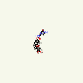 C[C@]12CC[C@H](OC(=O)NCCN3CCNC(=O)C3)C[C@H]1CC[C@@H]1[C@@H]2CC[C@]2(C)[C@@H](C3=CC(=O)OC3)[CH]C[C@]12O